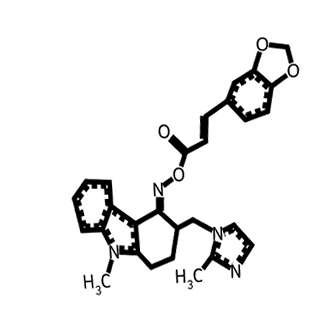 Cc1nccn1CC1CCc2c(c3ccccc3n2C)/C1=N/OC(=O)/C=C/c1ccc2c(c1)OCO2